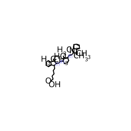 C[N+]1=C(/C=C/C2=C(O)C(=C/C=C3/C(CCCCCC(=O)O)c4ccccc4C3(C)C)/CCC2)C(C)(C)c2ccccc21